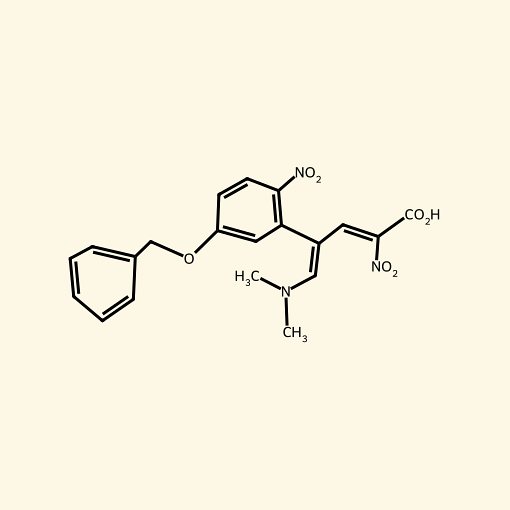 CN(C)C=C(C=C(C(=O)O)[N+](=O)[O-])c1cc(OCc2ccccc2)ccc1[N+](=O)[O-]